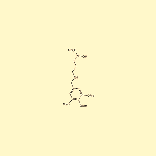 COc1cc(CNCCCN(O)C(=O)O)cc(OC)c1OC